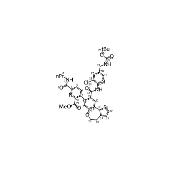 CCCNC(=O)c1ccc(-c2cc3c(cc2C(=O)Nc2ncc(CNC(=O)OC(C)(C)C)cc2Cl)-c2sccc2CCO3)c(C(=O)OC)n1